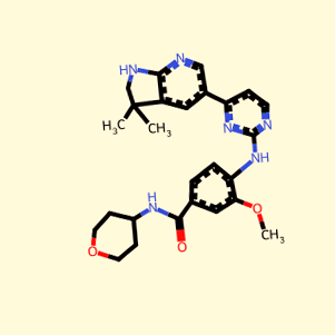 COc1cc(C(=O)NC2CCOCC2)ccc1Nc1nccc(-c2cnc3c(c2)C(C)(C)CN3)n1